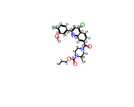 CCCOC(=O)N1CCN(C(=O)c2ccc3c(Cl)cc(-c4ccc(F)c(OC)c4)nc3c2)C[C@H]1C